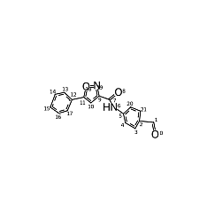 O=Cc1ccc(NC(=O)c2cc(-c3ccccc3)on2)cc1